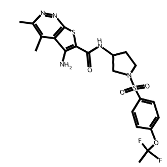 Cc1nnc2sc(C(=O)NC3CCN(S(=O)(=O)c4ccc(OC(C)(F)F)cc4)C3)c(N)c2c1C